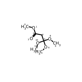 COC(=O)CC(OC)(OC)OC